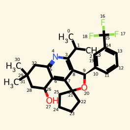 CC(C)c1nc2c(c3c1[C@@H](c1cccc(C(F)(F)F)c1)OC31CCCC1)C(O)CC(C)(C)C2